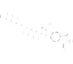 O=C1NC(=O)c2ccccc21.O=S(=O)(O)C(F)(F)C(F)(F)C(F)(F)C(F)(F)C(F)(F)C(F)(F)C(F)(F)C(F)(F)F